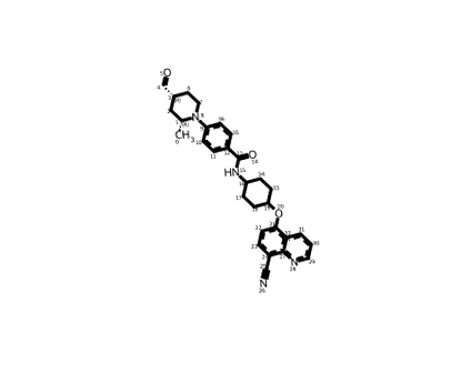 C[C@@H]1C[C@H](C=O)CCN1c1ccc(C(=O)NC2CCC(Oc3ccc(C#N)c4ncccc34)CC2)cc1